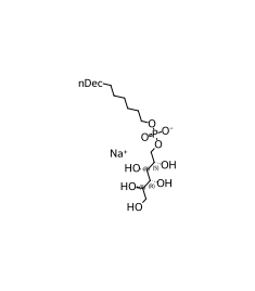 CCCCCCCCCCCCCCCCOP(=O)([O-])OC[C@H](O)[C@@H](O)[C@H](O)[C@H](O)CO.[Na+]